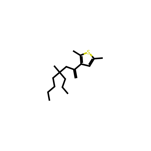 C=C(CC(C)(CCC)CCCC)c1cc(C)sc1C